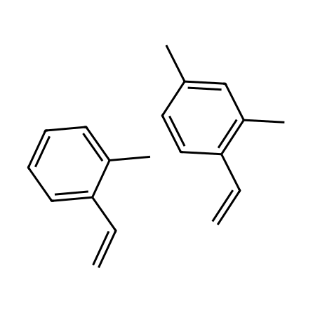 C=Cc1ccc(C)cc1C.C=Cc1ccccc1C